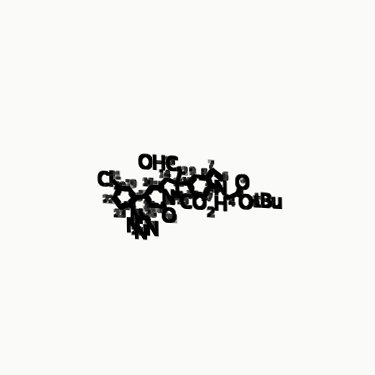 CC(C)(C)OC(=O)Cn1ccc2cc(C3(CC=O)Cc4cc(-c5cc(Cl)ccc5-n5cnnn5)cc(=O)n4[C@@H]3C(=O)O)ccc21